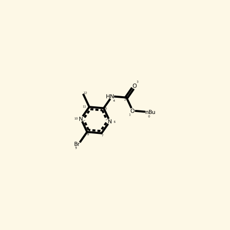 CCCCOC(=O)Nc1ncc(Br)nc1C